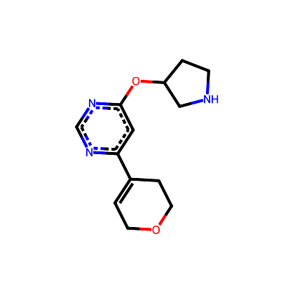 C1=C(c2cc(OC3CCNC3)ncn2)CCOC1